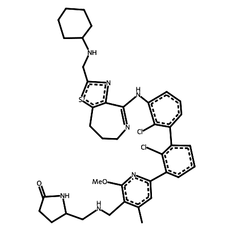 COc1nc(-c2cccc(-c3cccc(NC4=NCCCc5sc(CNC6CCCCC6)nc54)c3Cl)c2Cl)cc(C)c1CNCC1CCC(=O)N1